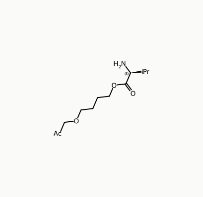 CC(=O)COCCCCOC(=O)[C@@H](N)C(C)C